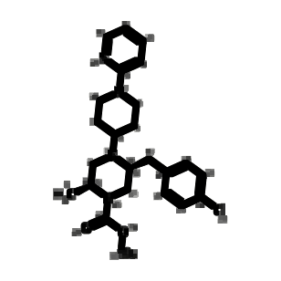 C[C@H]1CN(C2CCN(c3ccccn3)CC2)[C@@H](Cc2ccc(Cl)cc2)CN1C(=O)OC(C)(C)C